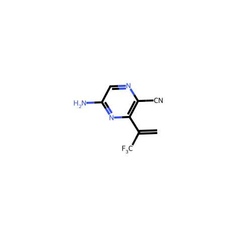 C=C(c1nc(N)cnc1C#N)C(F)(F)F